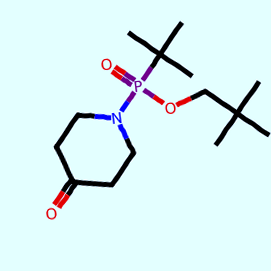 CC(C)(C)COP(=O)(N1CCC(=O)CC1)C(C)(C)C